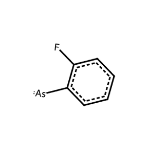 Fc1ccccc1[As]